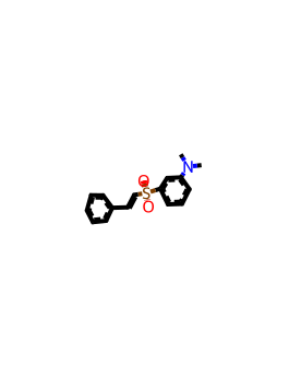 CN(C)c1cccc(S(=O)(=O)C=Cc2ccccc2)c1